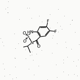 CC(C)N1C(=O)c2cc(F)c(F)cc2NS1(=O)=O